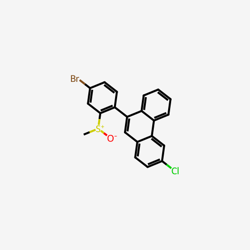 C[S+]([O-])c1cc(Br)ccc1-c1cc2ccc(Cl)cc2c2ccccc12